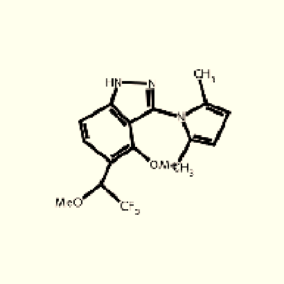 COc1c(C(OC)C(F)(F)F)ccc2[nH]nc(-n3c(C)ccc3C)c12